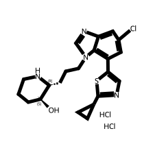 Cl.Cl.O[C@H]1CCCN[C@@H]1CCCn1cnc2cc(Cl)cc(-c3cnc(C4CC4)s3)c21